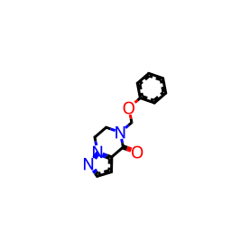 O=C1c2ccnn2CCN1COc1ccccc1